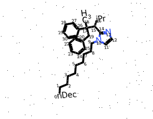 CCCCCCCCCCCCCCCCCCCn1ccnc1C(C(C)C)C(C)(Cc1ccccc1)c1ccccc1